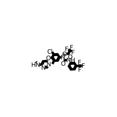 CNc1cc(Oc2c(C)cc(N(OC(=O)C(F)(F)F)C(=O)Nc3cccc(C(F)(F)F)c3)cc2Cl)ncn1